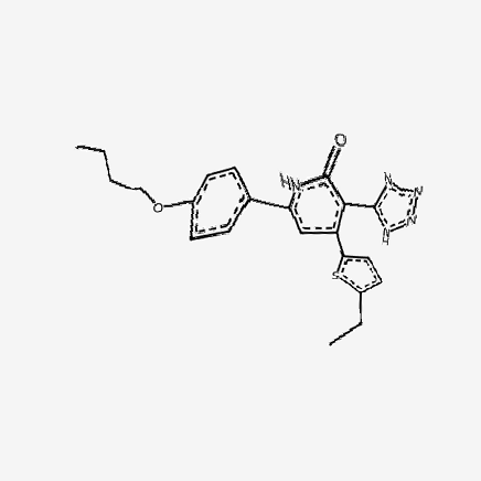 CCCCOc1ccc(-c2cc(-c3ccc(CC)s3)c(-c3nnn[nH]3)c(=O)[nH]2)cc1